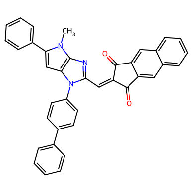 Cn1c(-c2ccccc2)cc2c1nc(C=C1C(=O)c3cc4ccccc4cc3C1=O)n2-c1ccc(-c2ccccc2)cc1